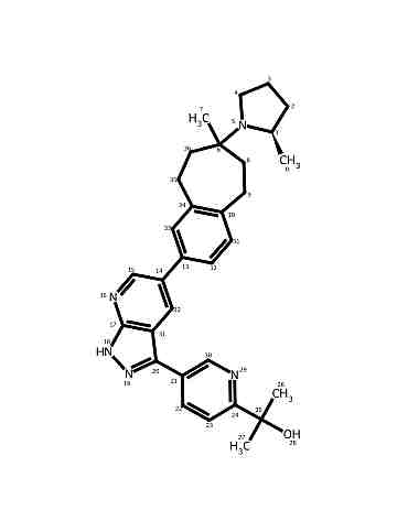 C[C@@H]1CCCN1C1(C)CCc2ccc(-c3cnc4[nH]nc(-c5ccc(C(C)(C)O)nc5)c4c3)cc2CC1